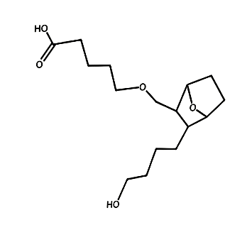 O=C(O)CCCCOCC1C2CCC(O2)C1CCCCO